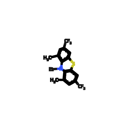 CCN1c2c(C)cc(C(F)(F)F)cc2Sc2cc(C(F)(F)F)cc(C)c21